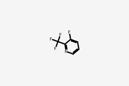 Fc1cc[c]nc1C(F)(F)F